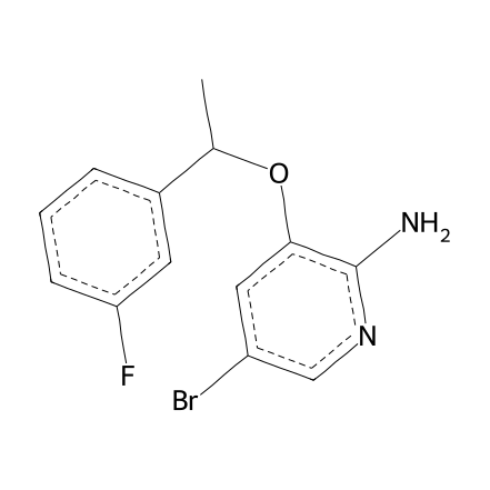 CC(Oc1cc(Br)cnc1N)c1cccc(F)c1